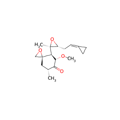 CO[C@@H]1C(=O)[C@H](C)C[C@]2(CO2)[C@H]1[C@@]1(C)O[C@@H]1CC=C1CC1